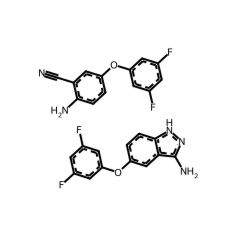 N#Cc1cc(Oc2cc(F)cc(F)c2)ccc1N.Nc1n[nH]c2ccc(Oc3cc(F)cc(F)c3)cc12